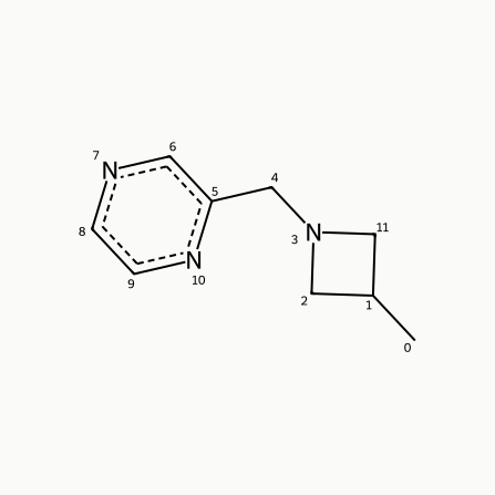 CC1CN(Cc2cnccn2)C1